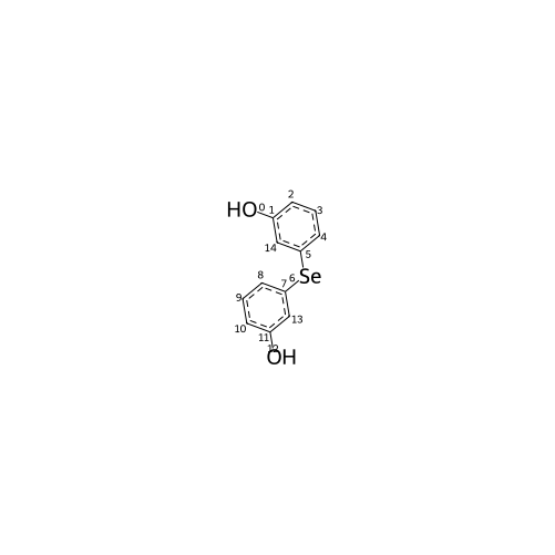 Oc1cccc([Se]c2cccc(O)c2)c1